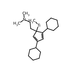 [CH3][Ti][C]1(CCN(C)C)C=C(C2CCCCC2)C=C1C1CCCCC1